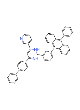 N=C(/C=C(\NCc1cccc(-c2c3ccccc3c(-c3ccccc3)c3ccccc23)c1)c1cccnc1)c1ccc(-c2ccccc2)cc1